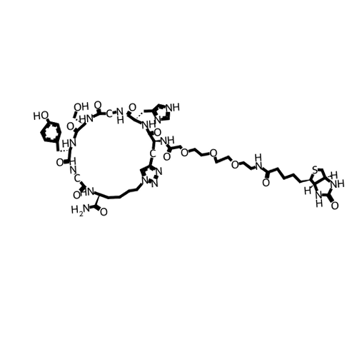 NC(=O)[C@@H]1CCCCn2cc(nn2)C[C@H](NC(=O)COCCOCCOCCNC(=O)CCCC[C@H]2SC[C@H]3NC(=O)N[C@H]32)C(=O)N[C@@H](Cc2c[nH]cn2)C(=O)NCC(=O)N[C@@H](CO)C(=O)N[C@@H](Cc2ccc(O)cc2)C(=O)NCC(=O)N1